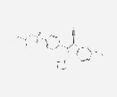 N#Cc1c(-c2ncc(S(=O)(=O)NC(CF)CF)cn2)n(C2CCC2)c2ccc(CF)cc12